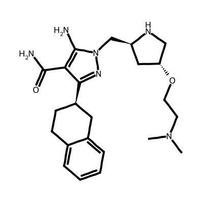 CN(C)CCO[C@H]1CN[C@H](Cn2nc([C@@H]3CCc4ccccc4C3)c(C(N)=O)c2N)C1